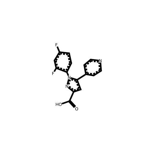 O=C(O)c1cc(-c2ccncc2)n(-c2ccc(F)cc2F)n1